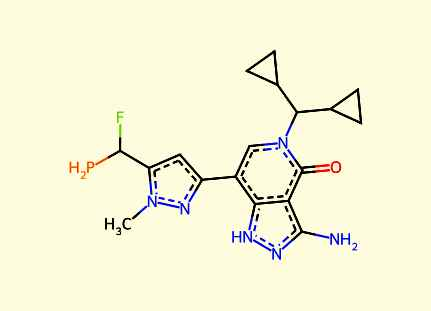 Cn1nc(-c2cn(C(C3CC3)C3CC3)c(=O)c3c(N)n[nH]c23)cc1C(F)P